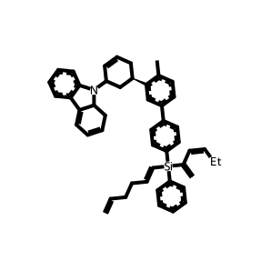 C=CCC/C=C/[Si](C(=C)/C=C\CC)(c1ccccc1)c1ccc(-c2ccc(C)c([C@@H]3CC=CC(N4c5ccccc5C5=CC=CCC54)C3)c2)cc1